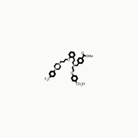 CCOC(=O)c1ccc(OCCN(CCc2ccccc2OCCCN2CCN(c3ccc(C(F)(F)F)cc3)CC2)Cc2ccc(C(=O)OC)cc2)cc1